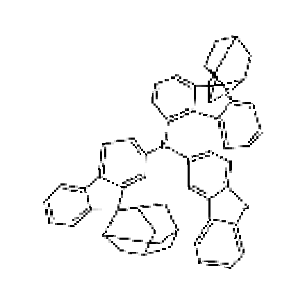 c1ccc2c(c1)-c1ccc(N(c3ccc4sc5ccccc5c4c3)c3cccc4c3-c3ccccc3C43C4CC5CC(C4)CC3C5)cc1C21C2CC3CC(C2)CC1C3